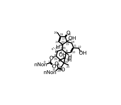 CCCCCCCCCC(=O)O[C@H]1[C@H](C)[C@]2(O)[C@H](C=C(CO)C[C@@]3(O)C(=O)C(C)=C[C@H]23)[C@H]2C(C)(C)[C@@]12OC(=O)CCCCCCCCC